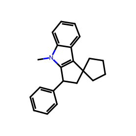 Cn1c2c(c3ccccc31)C1(CCCC1)CC2c1ccccc1